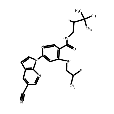 CC(F)CNc1cc(-n2ccc3cc(C#N)cnc32)ncc1C(=O)NCC(F)C(C)(C)O